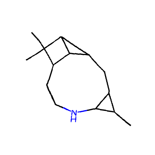 CC1C2CC3C4C(CCNC12)C(C)(C)C34